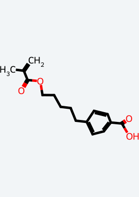 C=C(C)C(=O)OCCCCCc1ccc(C(=O)O)cc1